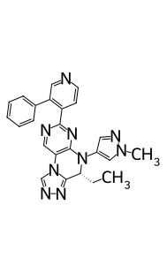 CC[C@@H]1c2nncn2-c2cnc(-c3ccncc3-c3ccccc3)nc2N1c1cnn(C)c1